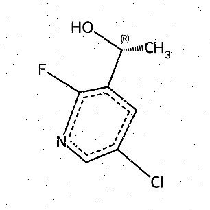 C[C@@H](O)c1cc(Cl)cnc1F